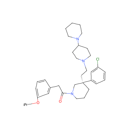 CC(C)Oc1cccc(CC(=O)N2CCC[C@](CCN3CCC(N4CCCCC4)CC3)(c3cccc(Cl)c3)C2)c1